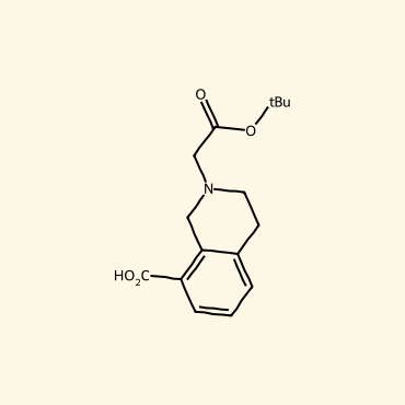 CC(C)(C)OC(=O)CN1CCc2cccc(C(=O)O)c2C1